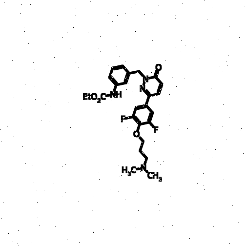 CCOC(=O)Nc1cccc(Cn2nc(-c3cc(F)c(OCCCN(C)C)c(F)c3)ccc2=O)c1